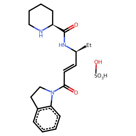 CC[C@@H](C=CC(=O)N1CCc2ccccc21)NC(=O)[C@@H]1CCCCN1.O=S(=O)(O)O